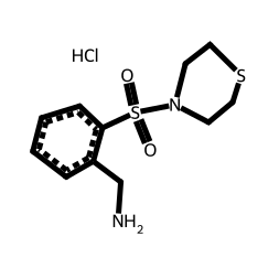 Cl.NCc1ccccc1S(=O)(=O)N1CCSCC1